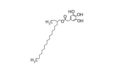 CCCCCCCCCCCCCCCCC(CC)COC(=O)Cc1cc(O)c(O)c(O)c1